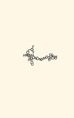 O=C1CCC(N2C(=O)c3ccc(N4CC5(CCN(C6CCN(c7ccc(C(=O)Nc8n[nH]c9ccc(Cc%10cc(F)cc(F)c%10)cc89)c(NC8CCOCC8)c7)CC6)C5)C4)cc3C2=O)C(=O)N1